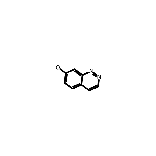 [O]c1ccc2ccnnc2c1